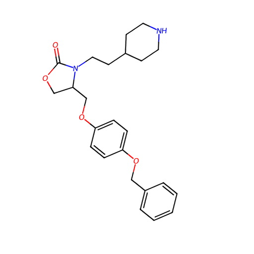 O=C1OCC(COc2ccc(OCc3ccccc3)cc2)N1CCC1CCNCC1